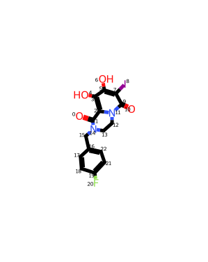 O=C1c2c(O)c(O)c(I)c(=O)n2CCN1Cc1ccc(F)cc1